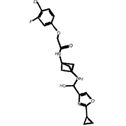 O=C(COc1ccc(Cl)c(F)c1)NC12CC(NC(O)c3coc(C4CC4)n3)(C1)C2